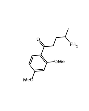 COc1ccc(C(=O)CCC(C)P)c(OC)c1